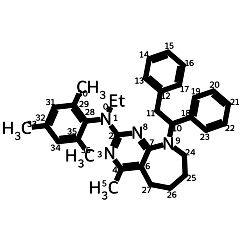 CCN(c1nc(C)c2c(n1)N(C(Cc1ccccc1)c1ccccc1)CCCC2)c1c(C)cc(C)cc1C